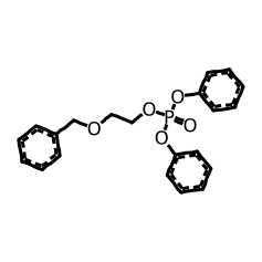 O=P(OCCOCc1ccccc1)(Oc1ccccc1)Oc1ccccc1